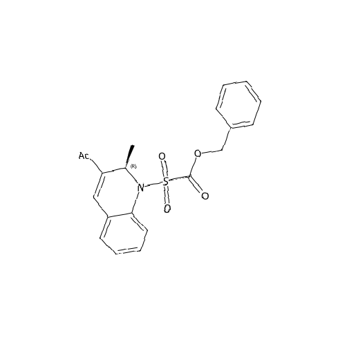 CC(=O)C1=Cc2ccccc2N(S(=O)(=O)C(=O)OCc2ccccc2)[C@@H]1C